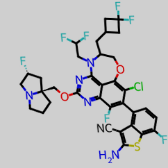 N#Cc1c(N)sc2c(F)ccc(-c3c(Cl)c4c5c(nc(OC[C@@]67CCCN6C[C@H](F)C7)nc5c3F)N(CC(F)F)C(CC3CC(F)(F)C3)CO4)c12